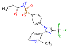 CCC(=O)NS(=O)(=O)c1ccc(-n2cc(C(F)(F)F)nc2-c2cccnc2C)cc1